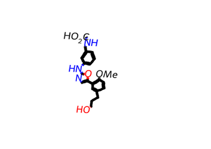 COc1ccc(CCCO)cc1-c1cnc(Nc2cccc(CNC(=O)O)c2)o1